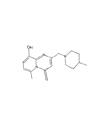 Cc1ccc(O)c2nc(CN3CCC(C)CC3)cc(=O)n12